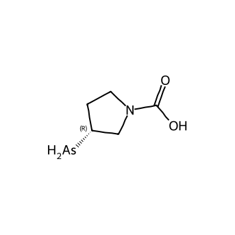 O=C(O)N1CC[C@@H]([AsH2])C1